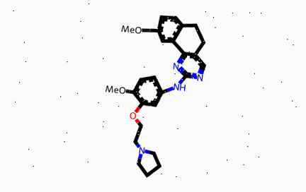 COc1ccc2c(c1)-c1nc(Nc3ccc(OC)c(OCCN4CCCC4)c3)ncc1CC2